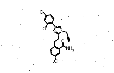 C#CCn1cc(-c2ccc(Cl)cc2Cl)nc1[CH]Cc1ccc(O)cc1C(N)=O